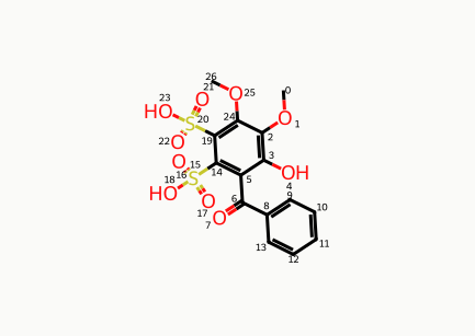 COc1c(O)c(C(=O)c2ccccc2)c(S(=O)(=O)O)c(S(=O)(=O)O)c1OC